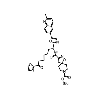 Cc1ccc2cc(-c3cnc([C@H](CCCCCC(=O)c4ncco4)NC(=O)C4=NOC5(CCN(C(=O)OC(C)(C)C)CC5)C4)o3)ccc2n1